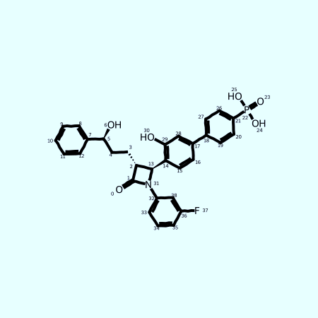 O=C1[C@H](CC[C@H](O)c2ccccc2)[C@@H](c2ccc(-c3ccc(P(=O)(O)O)cc3)cc2O)N1c1cccc(F)c1